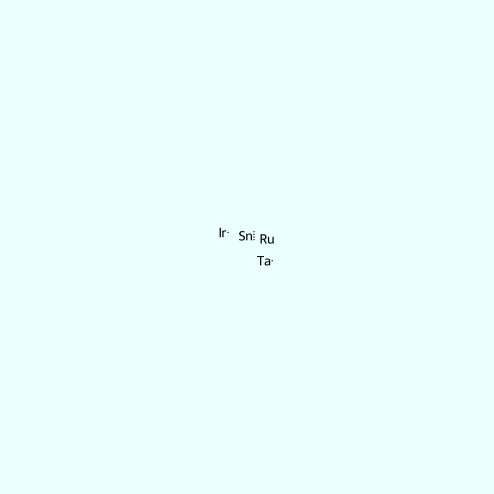 [Ir].[Ru].[Sn].[Ta]